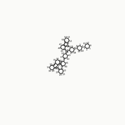 c1ccc(-c2ccc(-c3ccc(N(c4ccc(-c5ccc(-c6ccccc6-n6c7ccccc7c7ccccc76)cc5)cc4)c4cccc5c4sc4ccccc45)cc3)cc2)cc1